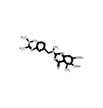 COc1cc2[nH]c(N(C)Cc3cccc(N=C(C)N(C)C)c3)nc(=O)c2c(C)c1OC